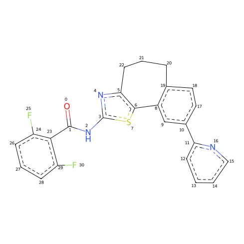 O=C(Nc1nc2c(s1)-c1cc(-c3ccccn3)ccc1CCC2)c1c(F)cccc1F